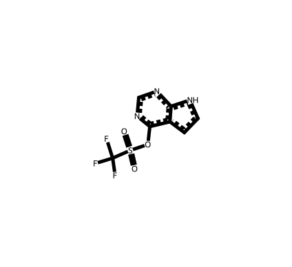 O=S(=O)(Oc1ncnc2[nH]ccc12)C(F)(F)F